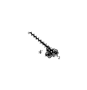 CCCCCCCCCCCCCCCCOCc1c(C)c(C2CCO2)c(N)c(C(=O)OC)[n+]1CC.[I-]